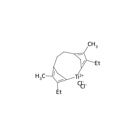 CCC1=[C]2CC(=C1C)CCC1=C(C)C(CC)=[C](C1)[Ti+2]2.[Cl-].[Cl-]